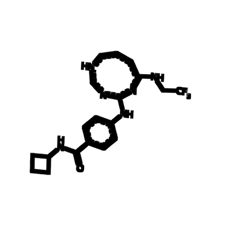 O=C(NC1CCC1)c1ccc(Nc2nc[nH]cccc(NCC(F)(F)F)n2)cc1